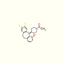 CC(=O)N1CCC(=C2c3cc(F)c(F)cc3CCc3ccc[n+]([O-])c32)CC1